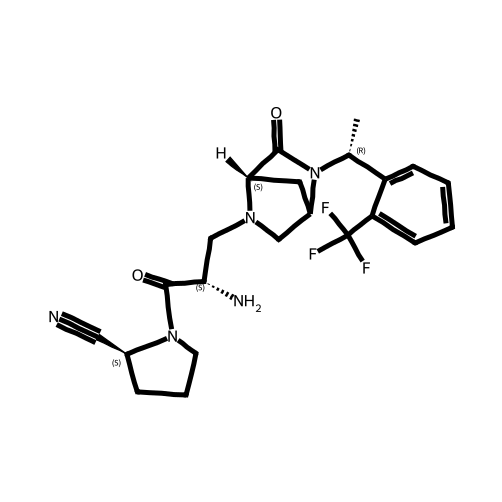 C[C@H](c1ccccc1C(F)(F)F)N1C(=O)[C@@H]2CC1CN2C[C@H](N)C(=O)N1CCC[C@H]1C#N